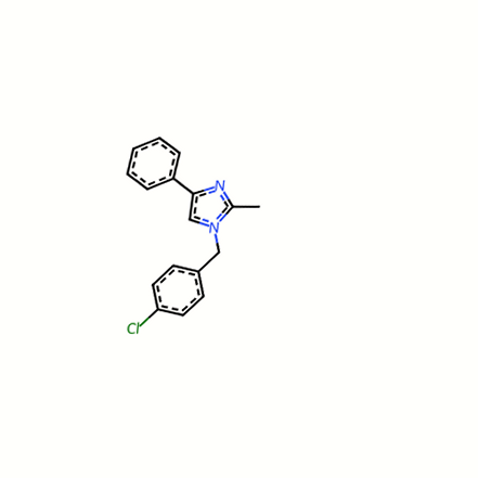 Cc1nc(-c2ccccc2)cn1Cc1ccc(Cl)cc1